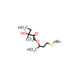 CCCCSCCC(OCC(=O)C(O)(CC(=O)O)C(=O)O)C(=O)O